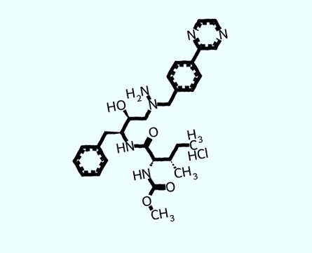 CC[C@H](C)[C@H](NC(=O)OC)C(=O)N[C@@H](Cc1ccccc1)[C@@H](O)CN(N)Cc1ccc(-c2cnccn2)cc1.Cl